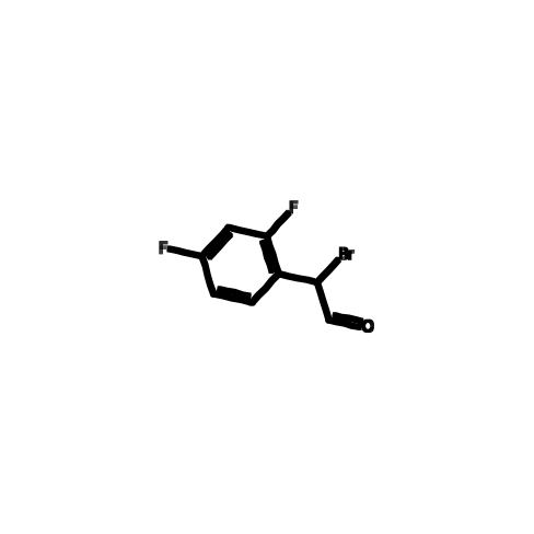 O=CC(Br)c1ccc(F)cc1F